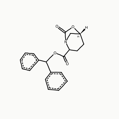 O=C(OC(c1ccccc1)c1ccccc1)C1CC[C@@H]2CN1C(=O)O2